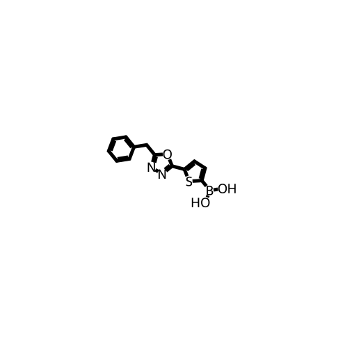 OB(O)c1ccc(-c2nnc(Cc3ccccc3)o2)s1